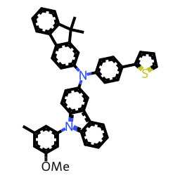 COc1cc(C)cc(-n2c3ccccc3c3cc(N(c4ccc(-c5cccs5)cc4)c4ccc5c(c4)C(C)(C)c4ccccc4-5)ccc32)c1